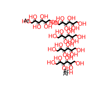 OC[C@@H](O)[C@@H](O)[C@H](O)[C@H](O)CO.OC[C@@H](O)[C@@H](O)[C@H](O)[C@H](O)CO.OC[C@@H](O)[C@@H](O)[C@H](O)[C@H](O)CO.OC[C@@H](O)[C@@H](O)[C@H](O)[C@H](O)CO.OC[C@@H](O)[C@@H](O)[C@H](O)[C@H](O)CO.[Ar].[Ar].[Ar]